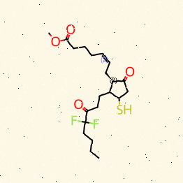 CCCCC(F)(F)C(=O)CCC1C(S)CC(=O)[C@@H]1C/C=C\CCCC(=O)OC